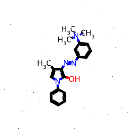 Cc1cn(-c2ccccc2)c(O)c1N=Nc1cccc([N+](C)(C)C)c1